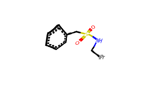 CC(C)CNS(=O)(=O)Cc1ccccc1